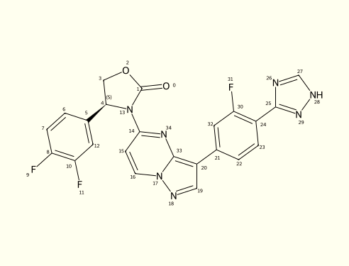 O=C1OC[C@H](c2ccc(F)c(F)c2)N1c1ccn2ncc(-c3ccc(-c4nc[nH]n4)c(F)c3)c2n1